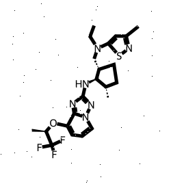 CCN(C[C@@H]1CC[C@H](C)[C@H]1Nc1nc2c(O[C@H](C)C(F)(F)F)cccn2n1)c1cc(C)ns1